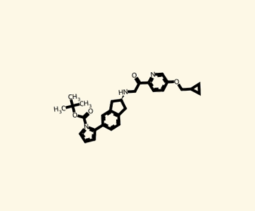 CC(C)(C)OC(=O)n1cccc1-c1ccc2c(c1)C[C@H](NCC(=O)c1ccc(OCC3CC3)cn1)C2